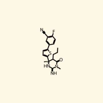 CCCC1C(=O)N(C)C(=N)N[C@]1(C)c1ccc(-c2ccc(F)c(C#N)c2)s1